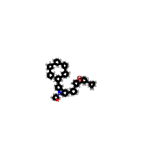 c1ccc(-c2cccc(-c3cccc(-c4cccc(-c5cccc(-c6cccc(-c7ccc8c(c7)c7cc(-c9cccc(-c%10ccc%11oc%12ccc(-c%13ccccc%13)cc%12c%11c%10)c9)ccc7n8-c7ccccc7)c6)c5)c4)c3)c2)cc1